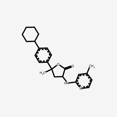 Cc1ccnc(NC2CC(C)(c3ccc(C4CCCCC4)cc3)OC2=O)c1